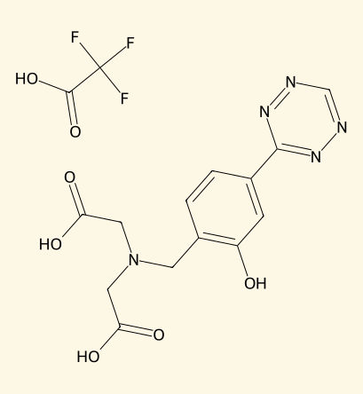 O=C(O)C(F)(F)F.O=C(O)CN(CC(=O)O)Cc1ccc(-c2nncnn2)cc1O